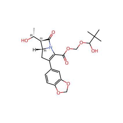 C[C@@H](O)[C@H]1C(=O)N2C(C(=O)OCOC(O)C(C)(C)C)=C(c3ccc4c(c3)OCO4)C[C@H]12